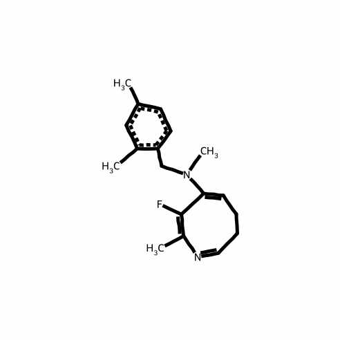 CC1=C(F)/C(N(C)Cc2ccc(C)cc2C)=C\CC/C=N\1